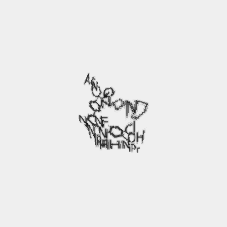 CC(=O)N1CCC2(CC1)C(=O)N([C@H]1C[C@@H](N3CCCCC3)C1)c1cc(-c3cc4ncn(C(C)C)c4c(Nc4cc(C(O)NC(C)C)c(Cl)cc4F)n3)ccc12